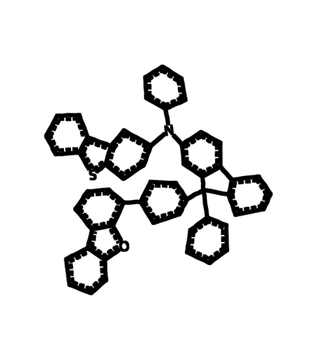 c1ccc(N(c2ccc3c(c2)C(c2ccccc2)(c2ccc(-c4cccc5c4oc4ccccc45)cc2)c2ccccc2-3)c2ccc3sc4ccccc4c3c2)cc1